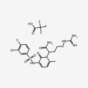 Cc1ccc(NS(=O)(=O)c2ccc(F)c(Cl)c2)c(=O)n1C(CCONC(=N)N)C(N)=O.O=C(O)C(F)(F)F